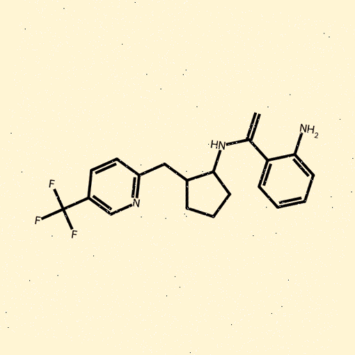 C=C(NC1CCCC1Cc1ccc(C(F)(F)F)cn1)c1ccccc1N